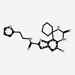 O=C1Nc2c(Cl)cc3cc(C(=O)NCCc4ccco4)oc3c2C2(CCCCC2)N1